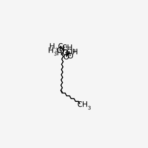 CCCCCCCC/C=C\CCCCCCCCCCCCC(CC[N+](C)(C)C)OP(=O)(O)O